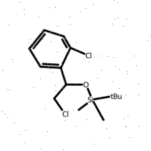 CC(C)(C)[Si](C)(C)OC(CCl)c1ccccc1Cl